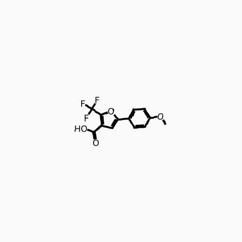 COc1ccc(-c2cc(C(=O)O)c(C(F)(F)F)o2)cc1